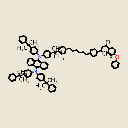 CCC(CC(C)c1ccc(CCCCCCc2ccc(C(C)(C)c3ccc(N(c4ccc(C(C)(C)c5ccccc5)cc4)c4c5ccccc5c(N(c5ccc(C(C)(C)c6ccccc6)cc5)c5ccc(C(C)(C)c6ccccc6)cc5)c5ccccc45)cc3)cc2)cc1)c1ccc(Oc2ccccc2)cc1